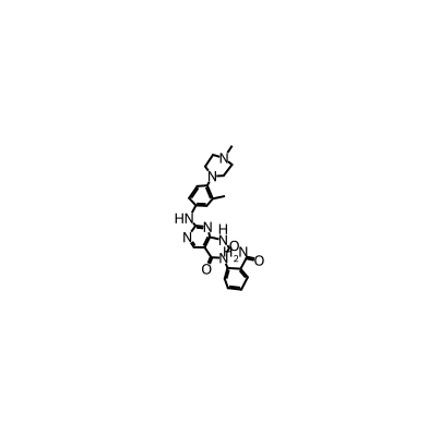 Cc1cc(Nc2ncc3c(=O)n(-c4ccccc4C(N)=O)c(=O)[nH]c3n2)ccc1N1CCN(C)CC1